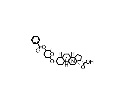 C[C@@H]1O[C@H](O[C@H]2CC[C@@]3(C)[C@H](CC[C@@H]4[C@@H]3CC[C@]3(C)[C@@H](C(=O)O)CC[C@]43N)C2)CC[C@H]1OC(=O)c1ccccc1